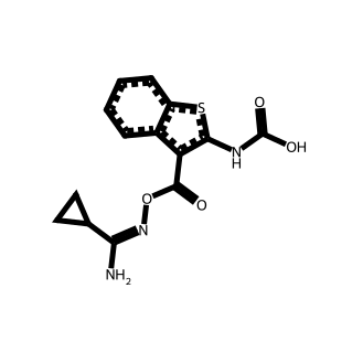 N/C(=N/OC(=O)c1c(NC(=O)O)sc2ccccc12)C1CC1